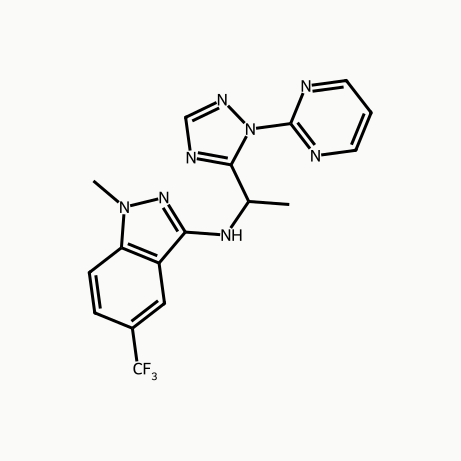 CC(Nc1nn(C)c2ccc(C(F)(F)F)cc12)c1ncnn1-c1ncccn1